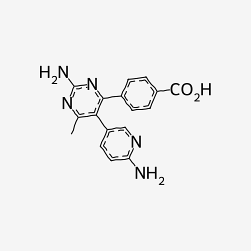 Cc1nc(N)nc(-c2ccc(C(=O)O)cc2)c1-c1ccc(N)nc1